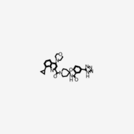 O=C1NC2(CCN(C(=O)c3cc(N4CCOCC4)c4cccc(C5CC5)c4n3)CC2)Oc2ccc(-c3nnn[nH]3)cc21